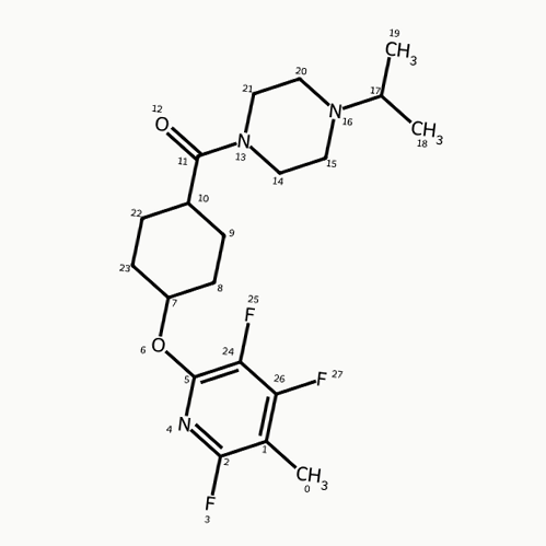 Cc1c(F)nc(OC2CCC(C(=O)N3CCN(C(C)C)CC3)CC2)c(F)c1F